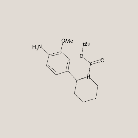 COc1cc(C2CCCCN2C(=O)OC(C)(C)C)ccc1N